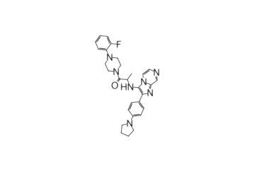 CC(Nc1c(-c2ccc(N3CCCC3)cc2)nc2cnccn12)C(=O)N1CCN(c2ccccc2F)CC1